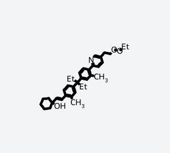 CCOOCCc1ccc(-c2ccc(C(CC)(CC)c3ccc(/C=C/C4(O)CCCCC4)c(C)c3)cc2C)nc1